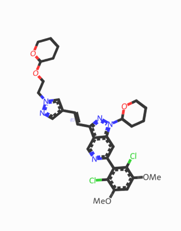 COc1cc(OC)c(Cl)c(-c2cc3c(cn2)c(/C=C/c2cnn(CCOC4CCCCO4)c2)nn3C2CCCCO2)c1Cl